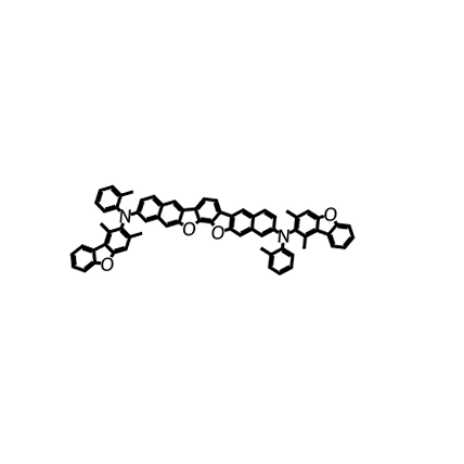 Cc1ccccc1N(c1ccc2cc3c(cc2c1)oc1c3ccc2c3cc4ccc(N(c5ccccc5C)c5c(C)cc6oc7ccccc7c6c5C)cc4cc3oc21)c1c(C)cc2oc3ccccc3c2c1C